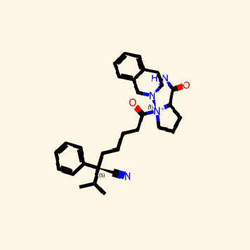 CC(C)[C@@](C#N)(CCCCC(=O)[N@@+]1(N2CCc3ccccc3C2)CCCC1C(N)=O)c1ccccc1